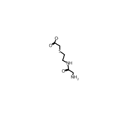 NCC(=O)NCCSCC([O])=O